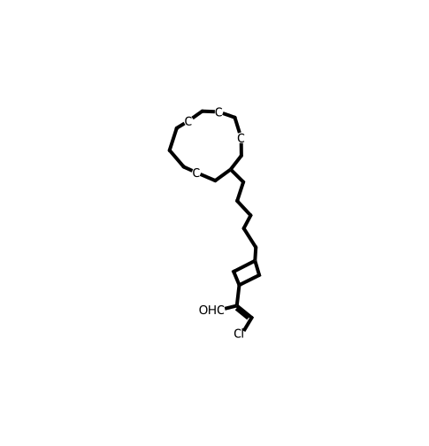 O=CC(=CCl)C1CC(CCCCCC2CCCCCCCCCCC2)C1